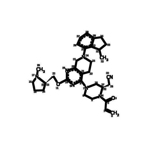 C=CC(=O)N1CCN(c2nc(OC[C@@H]3CCCN3C)nc3c2CCN(c2cccc4c2C(C)CC4)C3)C[C@@H]1CC#N